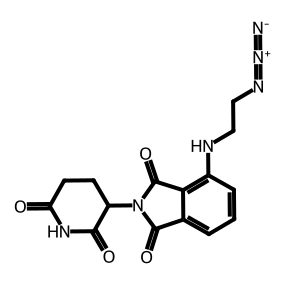 [N-]=[N+]=NCCNc1cccc2c1C(=O)N(C1CCC(=O)NC1=O)C2=O